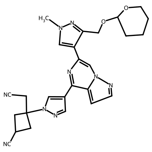 Cn1cc(-c2cn3nccc3c(-c3cnn(C4(CC#N)CC(C#N)C4)c3)n2)c(COC2CCCCO2)n1